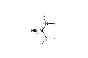 Br.C[N](C)[Al][N](C)C